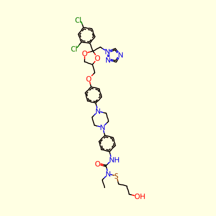 CCN(SCCCO)C(=O)Nc1ccc(N2CCN(c3ccc(OCC4COC(Cn5cncn5)(c5ccc(Cl)cc5Cl)O4)cc3)CC2)cc1